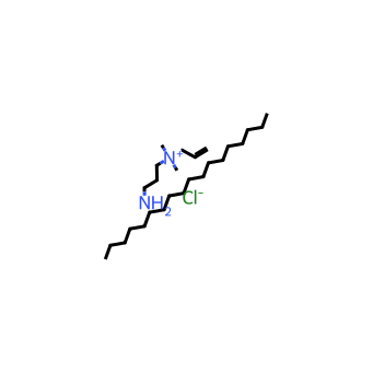 C=CC[N+](C)(C)CCCN.CCCCCCCCCCCCCCCCCC.[Cl-]